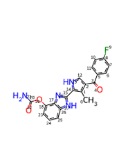 Cc1c(C(=O)c2ccc(F)cc2)c[nH]c1-c1nc2c(OC(N)=O)cccc2[nH]1